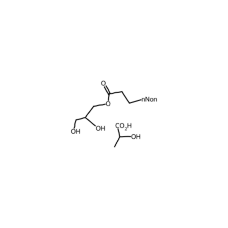 CC(O)C(=O)O.CCCCCCCCCCCC(=O)OCC(O)CO